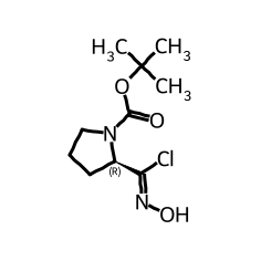 CC(C)(C)OC(=O)N1CCC[C@@H]1C(Cl)=NO